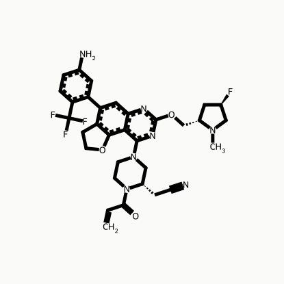 C=CC(=O)N1CCN(c2nc(OC[C@@H]3C[C@@H](F)CN3C)nc3cc(-c4cc(N)ccc4C(F)(F)F)c4c(c23)OCC4)C[C@@H]1CC#N